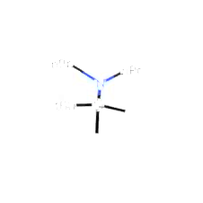 CCCN(CCC)[Si](C)(C)C(C)(C)C